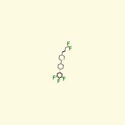 Fc1cc([C@H]2CC[C@H]([C@H]3CC[C@H](C=CCC(F)F)CC3)CC2)cc(F)c1F